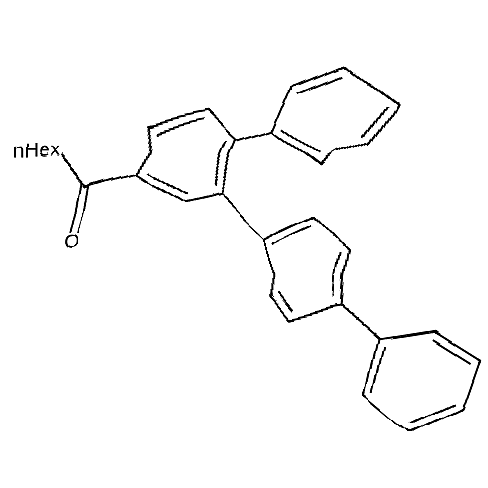 CCCCCCC(=O)c1ccc(-c2ccccc2)c(-c2ccc(-c3ccccc3)cc2)c1